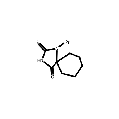 CC(C)N1C(=S)NC(=O)C12CCCCC2